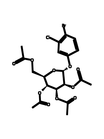 CC(=O)OC[C@H]1O[C@H](Oc2ccc(Br)c(Cl)c2)[C@@H](OC(C)=O)[C@@H](OC(C)=O)[C@@H]1OC(C)=O